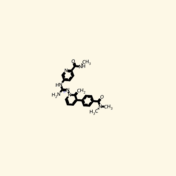 C=C1C(c2ccc(C(=O)N(C)C)cc2)=CC=CN1/N=C(\N)Nc1ccc(C(=O)NC)nc1